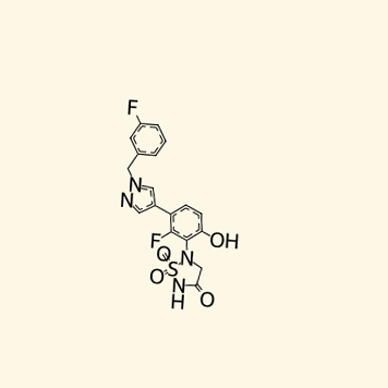 O=C1CN(c2c(O)ccc(-c3cnn(Cc4cccc(F)c4)c3)c2F)S(=O)(=O)N1